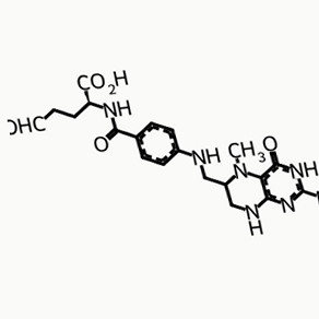 CN1c2c(nc(N)[nH]c2=O)NCC1CNc1ccc(C(=O)N[C@@H](CCC=O)C(=O)O)cc1